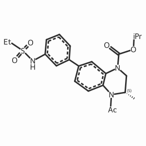 CCS(=O)(=O)Nc1cccc(-c2ccc3c(c2)N(C(=O)OC(C)C)C[C@H](C)N3C(C)=O)c1